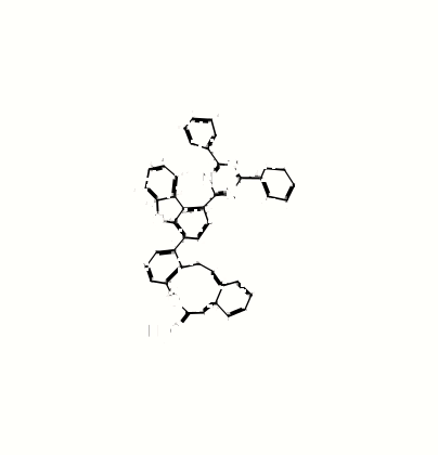 C=C1/C=c2/cccc/c2=C/Cc2c(cccc2-c2ccc(-c3nc(C4=CC=CCC4)nc(-c4ccccc4)n3)c3c2oc2ccccc23)O1